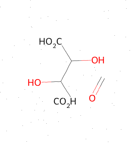 C=O.O=C(O)C(O)C(O)C(=O)O